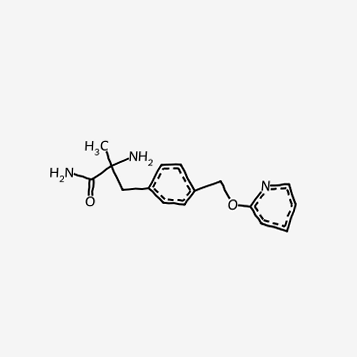 CC(N)(Cc1ccc(COc2ccccn2)cc1)C(N)=O